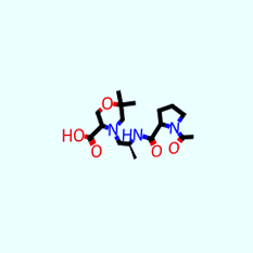 CC(=O)N1CCCC1C(=O)N[C@@H](C)CN1CC(C)(C)OCC1C(=O)O